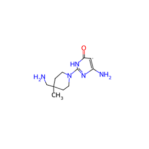 CC1(CN)CCN(c2nc(N)[c]c(=O)[nH]2)CC1